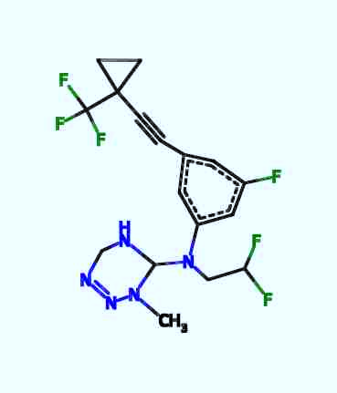 CN1N=NCNC1N(CC(F)F)c1cc(F)cc(C#CC2(C(F)(F)F)CC2)c1